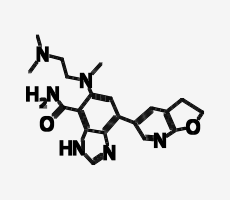 CN(C)CCN(C)c1cc(-c2cnc3c(c2)CCO3)c2nc[nH]c2c1C(N)=O